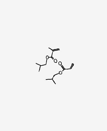 C=C(C)C(=O)OCC(C)C.C=CC(=O)OCC(C)C